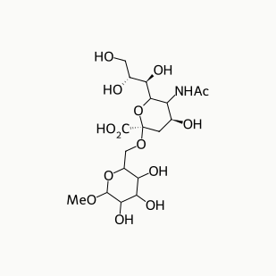 COC1OC(CO[C@]2(C(=O)O)C[C@H](O)C(NC(C)=O)C([C@H](O)[C@H](O)CO)O2)C(O)C(O)C1O